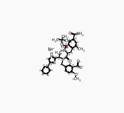 COc1ccc(CN(C(=O)C(Cc2c(C)cc(C(N)=O)cc2C)NC(=O)OC(C)(C)C)C(C)c2nc(-c3ccccc3)c[nH]2)cc1C(=O)[O-].[Na+]